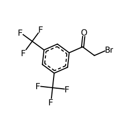 O=C(CBr)c1cc(C(F)(F)F)cc(C(F)(F)F)c1